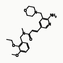 CCOc1c(CN(C)C(=O)C=Cc2cnc(N)c(CN3CCOCC3)c2)cccc1OC